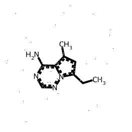 CCc1cc(C)c2c(N)ncnn12